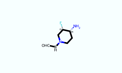 N[C@@H]1CCN(BC=O)C[C@@H]1F